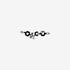 CC(C)(C)c1ccc(S(=O)(=O)N[C@H]2CCN(c3ccc(C#N)nn3)C2)cc1